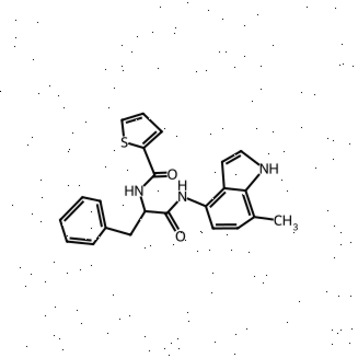 Cc1ccc(NC(=O)C(Cc2ccccc2)NC(=O)c2cccs2)c2cc[nH]c12